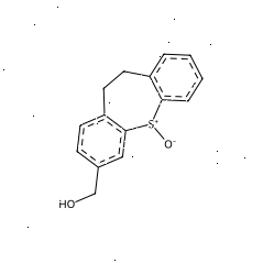 [O-][S+]1c2ccccc2CCc2ccc(CO)cc21